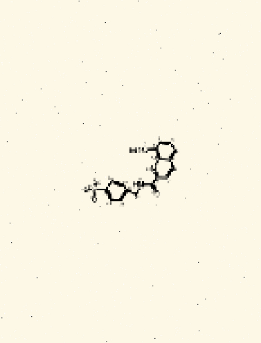 COc1cccc2ccc(C(=O)NCc3ccc(S(C)(=O)=O)cc3)nc12